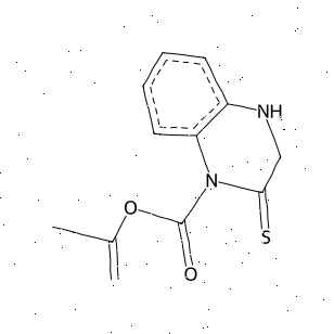 C=C(C)OC(=O)N1C(=S)CNc2ccccc21